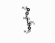 COc1ccc(-c2nc(CCCC(=O)NCCN3CCN(c4cccc(C)c4)CC3)c(C)o2)cc1